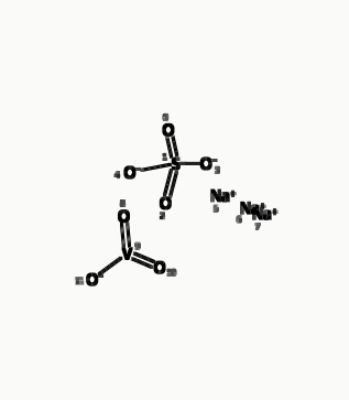 O=S(=O)([O-])[O-].[Na+].[Na+].[Na+].[O]=[V](=[O])[O-]